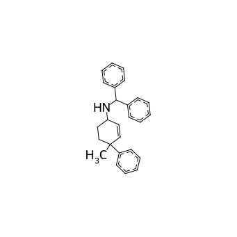 CC1(c2ccccc2)C=CC(NC(c2ccccc2)c2ccccc2)CC1